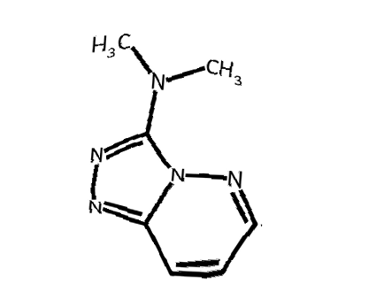 CN(C)c1nnc2cc[c]nn12